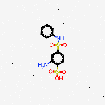 Nc1cc(S(=O)(=O)Nc2ccccc2)ccc1S(=O)(=O)O